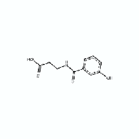 O=C(O)CCNC(=O)c1cccc(O)c1